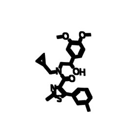 COc1ccc(C(O)CN(CC2CC2)C(=O)c2nc(C)sc2-c2cccc(C)c2)cc1OC